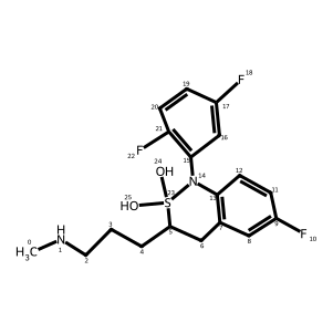 CNCCCC1Cc2cc(F)ccc2N(c2cc(F)ccc2F)S1(O)O